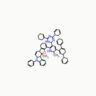 CC1NC(C2=CCCC3=C2OC2(C)C3C=CC3C2c2ccccc2N3c2ccccc2)=C(C2N=C(C3C=CC=CC3)N=C(C3=CCCCC3)N2)C=C1C1=CC(C2C=CC=CC2)CC=C1C1=CCCC=C1